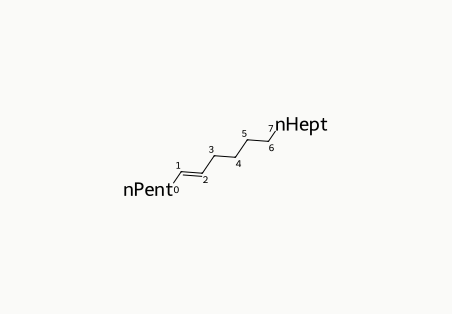 CCCCCC=CCCCCCCCCCCC